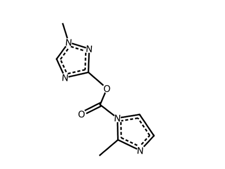 Cc1nccn1C(=O)Oc1ncn(C)n1